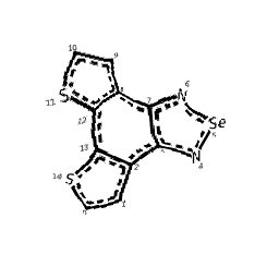 c1cc2c3n[se]nc3c3ccsc3c2s1